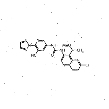 COC(C)c1c(NC(=O)Nc2cnc(-n3nccn3)c(C#N)c2)cnc2ccc(Cl)nc12